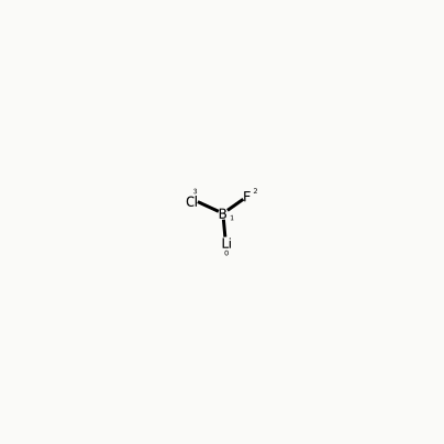 [Li][B](F)Cl